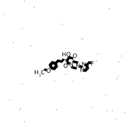 CCOc1ccc(CCC[C@@H](C(=O)N2CCN(c3nccc(CF)n3)CC2)[C@H](O)C=O)cc1